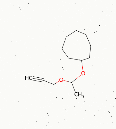 C#CCOC(C)OC1CCCCCCC1